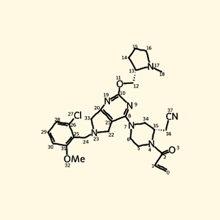 C=CC(=O)N1CCN(c2nc(OC[C@@H]3CCCN3C)nc3c2CN(Cc2c(Cl)cccc2OC)C3)C[C@@H]1CC#N